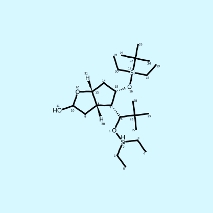 CC[SiH](CC)OC([C@@H]1[C@@H]2CC(O)O[C@@H]2C[C@@H]1O[Si](CC)(CC)C(C)(C)C)C(C)(C)C